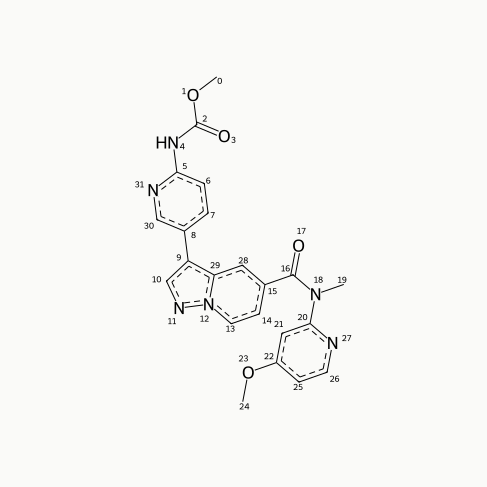 COC(=O)Nc1ccc(-c2cnn3ccc(C(=O)N(C)c4cc(OC)ccn4)cc23)cn1